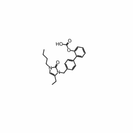 CCCCn1cc(CC)n(Cc2ccc(-c3ccccc3OC(=O)O)cc2)c1=O